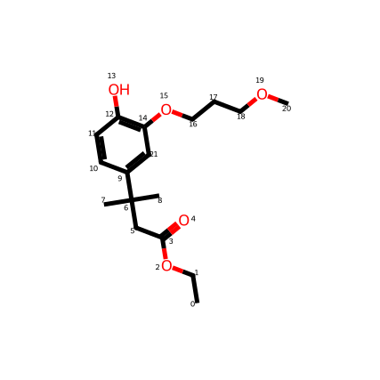 CCOC(=O)CC(C)(C)c1ccc(O)c(OCCCOC)c1